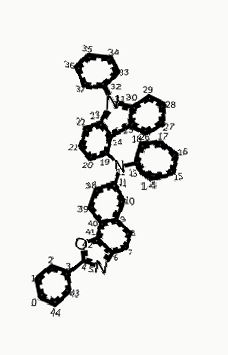 c1ccc(-c2nc3ccc4cc(N(c5ccccc5)c5cccc6c5c5ccccc5n6-c5ccccc5)ccc4c3o2)cc1